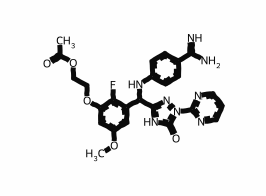 COc1cc(OCCOC(C)=O)c(F)c(C(Nc2ccc(C(=N)N)cc2)c2nn(-c3ncccn3)c(=O)[nH]2)c1